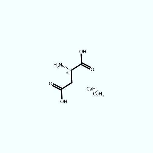 N[C@@H](CC(=O)O)C(=O)O.[CaH2].[CaH2]